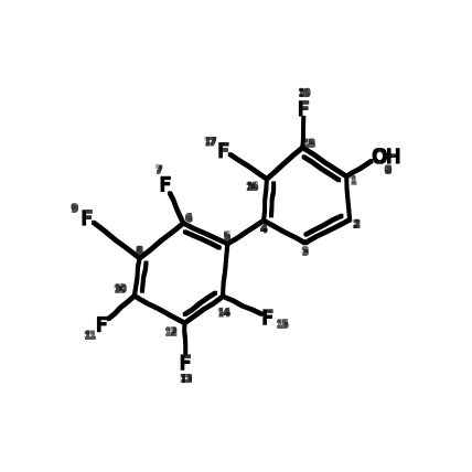 Oc1ccc(-c2c(F)c(F)c(F)c(F)c2F)c(F)c1F